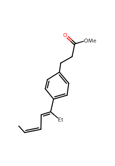 C/C=C\C=C(/CC)c1ccc(CCC(=O)OC)cc1